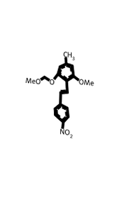 COCOc1cc(C)cc(OC)c1/C=C/c1ccc([N+](=O)[O-])cc1